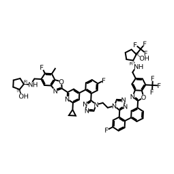 Cc1c(F)c(CN[C@@H]2CCC[C@@H]2O)cc2nc(-c3cc(-c4ccc(F)cc4-c4nncn4CCn4cnnc4-c4cc(F)ccc4-c4cccc(-c5nc6cc(CN[C@@H]7CCC[C@@]7(O)C(F)(F)F)cc(C(F)(F)F)c6o5)c4)cc(C4CC4)n3)oc12